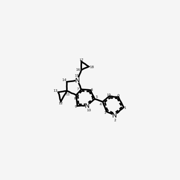 c1cncc(-c2cc3c(cn2)C2(CC2)CN3C2CC2)c1